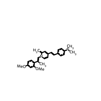 C=C1C=C(/C=C/c2ccc(N(C)C)cc2)C=CN1/C=C(\C)c1ccc(OC)cc1OC